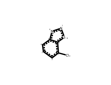 Clc1cccc2nnsc12